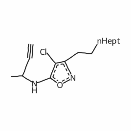 C#CC(C)Nc1onc(CCCCCCCCC)c1Cl